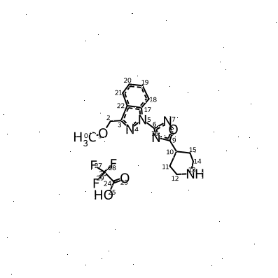 COCc1nn(-c2noc(C3CCNCC3)n2)c2ccccc12.O=C(O)C(F)(F)F